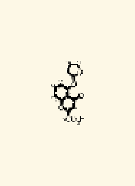 O=C(O)c1cc(=O)c2c(OC3CCCO3)cccc2o1